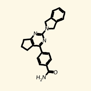 NC(=O)c1ccc(-c2nc(N3Cc4ccccc4C3)nc3c2CCC3)cc1